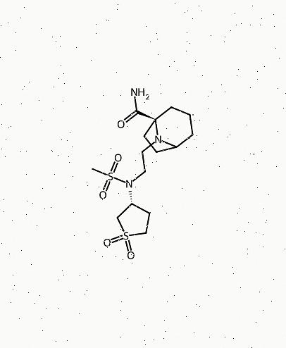 CS(=O)(=O)N(CCN1C2C[CH]C[C@@]1(C(N)=O)CC2)[C@@H]1CCS(=O)(=O)C1